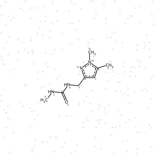 CNC(=O)NCc1cc(C)n(C)n1